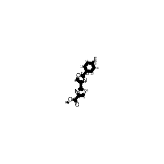 COC(=O)c1csc(-c2coc(-c3ccc(F)cc3)n2)n1